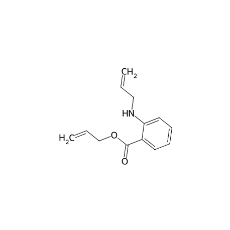 C=CCNc1ccccc1C(=O)OCC=C